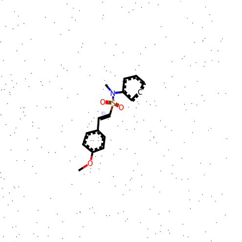 COc1ccc(/C=C/S(=O)(=O)N(C)c2ccccc2)cc1